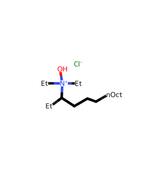 CCCCCCCCCCCC(CC)[N+](O)(CC)CC.[Cl-]